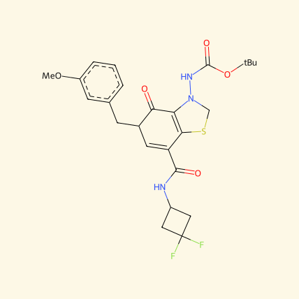 COc1cccc(CC2C=C(C(=O)NC3CC(F)(F)C3)C3=C(C2=O)N(NC(=O)OC(C)(C)C)CS3)c1